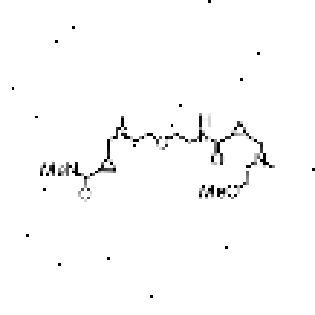 CNC(=O)C1CC1CN(C)CCOCCNC(=O)C1CC1CN(C)CCOC